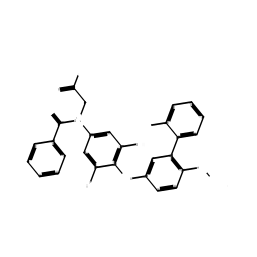 COc1ccc(Oc2c(Br)cc(N(CC(=O)O)C(=O)c3ccccc3)cc2Br)cc1-c1ccccc1F